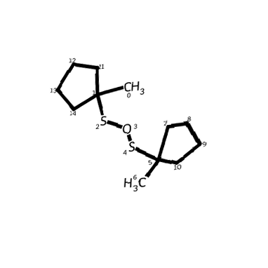 CC1(SOSC2(C)CCCC2)CCCC1